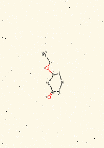 CC(C)COC1CCCC(=O)C1